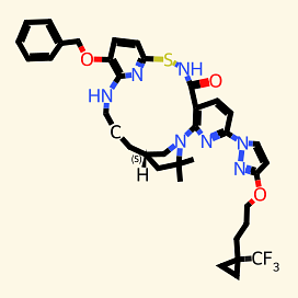 CC1(C)C[C@@H]2CCCNc3nc(ccc3OCc3ccccc3)SNC(=O)c3ccc(-n4ccc(OCCCC5(C(F)(F)F)CC5)n4)nc3N1C2